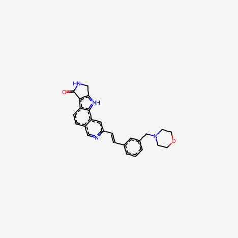 O=C1NCc2[nH]c3c(ccc4cnc(/C=C/c5cccc(CN6CCOCC6)c5)cc43)c21